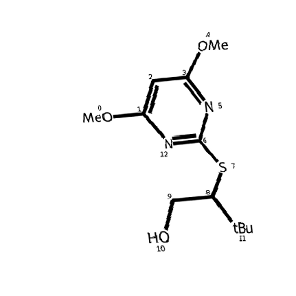 COc1cc(OC)nc(SC(CO)C(C)(C)C)n1